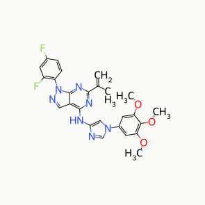 C=C(C)c1nc(Nc2cn(-c3cc(OC)c(OC)c(OC)c3)cn2)c2cnn(-c3ccc(F)cc3F)c2n1